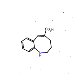 O=C(O)C1=Cc2ccccc2NCCC1